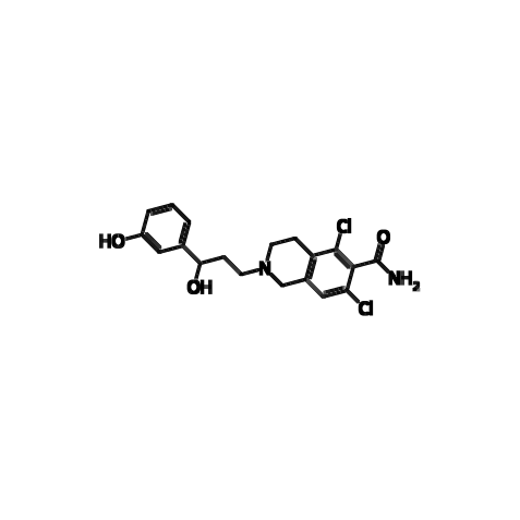 NC(=O)c1c(Cl)cc2c(c1Cl)CCN(CCC(O)c1cccc(O)c1)C2